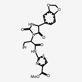 COC(=O)c1csc(NC(=O)C(CC(C)C)N2C(=O)NC(c3ccc4c(c3)OCO4)C2=O)n1